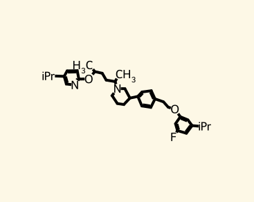 CC(CCC(C)N1CCCC(c2ccc(CCOc3cc(F)cc(C(C)C)c3)cc2)C1)Oc1ccc(C(C)C)cn1